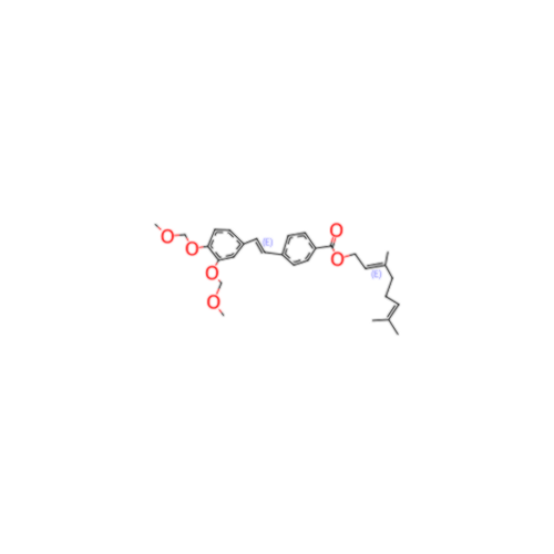 COCOc1ccc(/C=C/c2ccc(C(=O)OC/C=C(\C)CCC=C(C)C)cc2)cc1OCOC